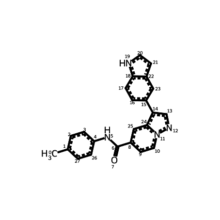 Cc1ccc(NC(=O)c2ccn3ncc(-c4ccc5[nH]ccc5c4)c3c2)cc1